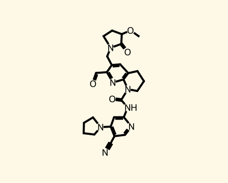 COC1CCN(Cc2cc3c(nc2C=O)N(C(=O)Nc2cc(N4CCCC4)c(C#N)cn2)CCC3)C1=O